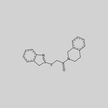 O=C(CSS1=Nc2ccccc2C1)N1CCc2ccccc2C1